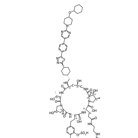 CC(C)NCCNC(=O)C[C@@H](O)[C@@H]1NC(=O)[C@H]([C@H](O)Cc2ccc(O)c(OS(=O)(=O)O)c2)NC(=O)[C@@H]2C[C@@H](O)CN2C(=O)[C@H]([C@@H](C)O)NC(=O)[C@@H](NC[C@H]2CC[C@H](c3nnc(-c4ccc(-c5cnc(N6CCC(OC7CCCCC7)CC6)nc5)cc4)s3)CC2)C[C@@H](O)CNC(=O)[C@@H]2[C@@H](O)[C@@H](C)CN2C1=O